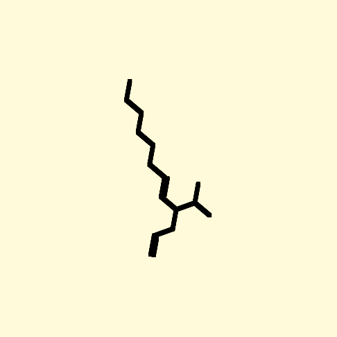 C=CCC(C=CCCCCCC)C(C)C